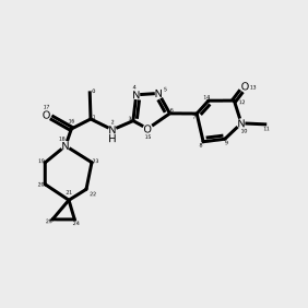 CC(Nc1nnc(-c2ccn(C)c(=O)c2)o1)C(=O)N1CCC2(CC1)CC2